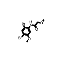 COCC(=O)Nc1cc(OC)c(Br)cc1Br